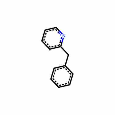 [c]1cccnc1Cc1ccccc1